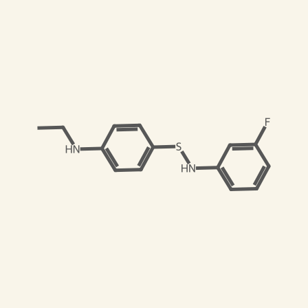 CCNc1ccc(SNc2cccc(F)c2)cc1